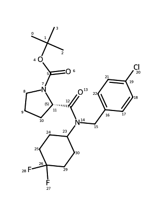 CC(C)(C)OC(=O)N1CCC[C@H]1C(=O)N(Cc1ccc(Cl)cc1)C1CCC(F)(F)CC1